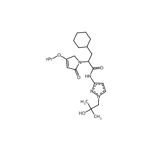 CCCOC1=CC(=O)N(C(CC2CCCCC2)C(=O)Nc2ccn(CC(C)(C)O)n2)C1